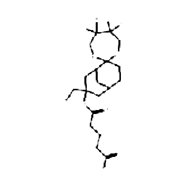 CCC1(OC(=O)CCCC(=O)O)CC2CCC3(OCC(F)(F)C(F)(F)CO3)C(C2)C1